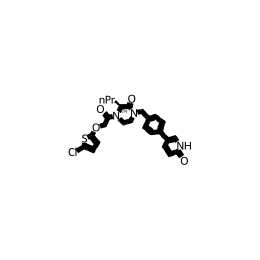 CCC[C@H]1C(=O)N(Cc2ccc(-c3ccc(=O)[nH]c3)cc2)CCN1C(=O)COc1ccc(Cl)s1